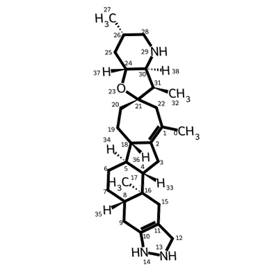 CC1=C2C[C@H]3[C@@H](CC[C@H]4CC5=C(CNN5)C[C@@]43C)[C@@H]2CC[C@@]2(C1)O[C@@H]1C[C@H](C)CN[C@H]1[C@H]2C